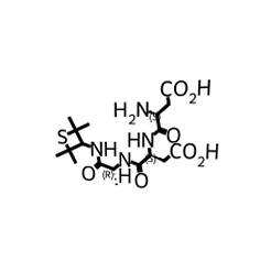 C[C@@H](NC(=O)[C@H](CC(=O)O)NC(=O)[C@@H](N)CC(=O)O)C(=O)NC1C(C)(C)SC1(C)C